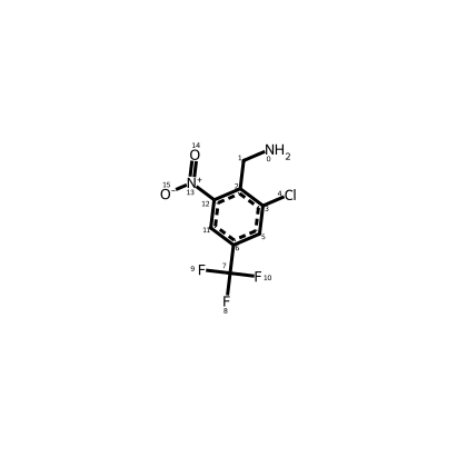 NCc1c(Cl)cc(C(F)(F)F)cc1[N+](=O)[O-]